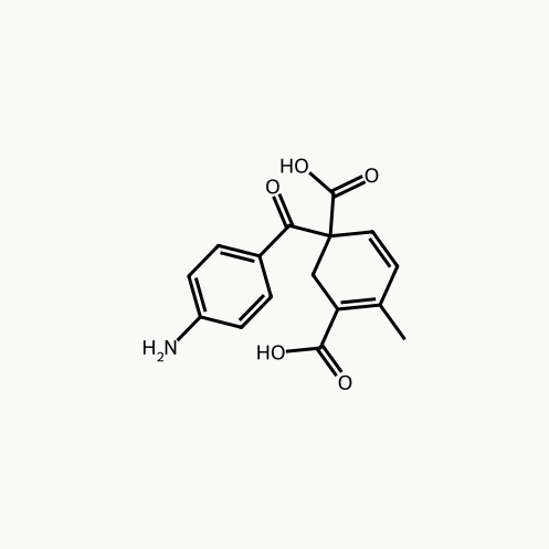 CC1=C(C(=O)O)CC(C(=O)O)(C(=O)c2ccc(N)cc2)C=C1